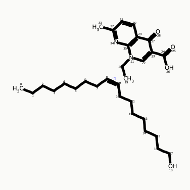 CCCCCCCC/C=C\CCCCCCCCO.CCn1cc(C(=O)O)c(=O)c2ccc(C)nc21